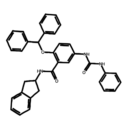 O=C(Nc1ccccc1)Nc1ccc(OC(c2ccccc2)c2ccccc2)c(C(=O)NC2Cc3ccccc3C2)c1